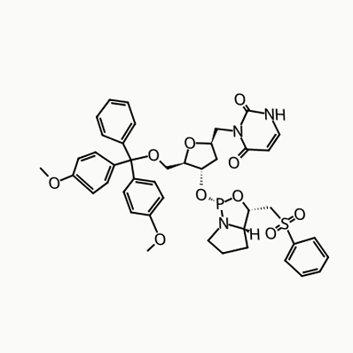 COc1ccc(C(OC[C@H]2O[C@@H](Cn3c(=O)cc[nH]c3=O)C[C@@H]2O[P@]2O[C@H](CS(=O)(=O)c3ccccc3)[C@@H]3CCCN32)(c2ccccc2)c2ccc(OC)cc2)cc1